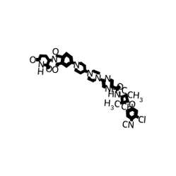 CC1(C)[C@H](NC(=O)c2cnc(N3CCN(C4CCN(c5ccc6c(c5)C(=O)N(C5CCC(=O)NC5=O)C6=O)CC4)CC3)cn2)C(C)(C)[C@H]1Oc1ccc(C#N)c(Cl)c1